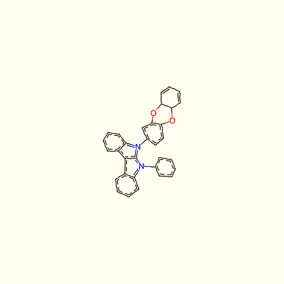 C1=CC2Oc3ccc(-n4c5ccccc5c5c6ccccc6n(-c6ccccc6)c54)cc3OC2C=C1